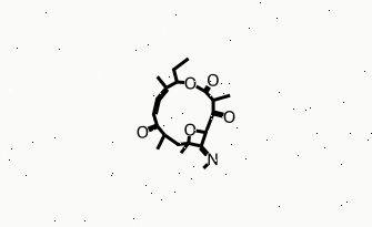 CCC1OC(=O)C(C)C(=O)C2OC(C)(CC(C)C(=O)C=C=C1C)C2=NC